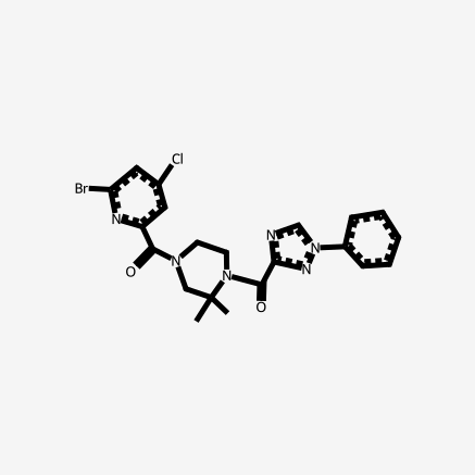 CC1(C)CN(C(=O)c2cc(Cl)cc(Br)n2)CCN1C(=O)c1ncn(-c2ccccc2)n1